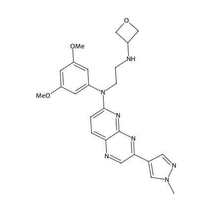 COc1cc(OC)cc(N(CCNC2COC2)c2ccc3ncc(-c4cnn(C)c4)nc3n2)c1